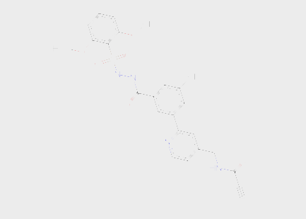 C#CC(=O)NCc1ccnc(-c2cc(C)cc(C(=O)NNS(=O)(=O)c3c(OC)cccc3OC)c2)c1